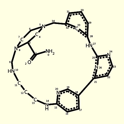 NC(=O)C1CN2CCN1CNCCCNc1ccc(cn1)-c1ccnc(n1)Nc1cccc(c1)C2